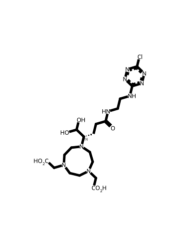 O=C(O)CN1CCN(CC(=O)O)CCN([C@@H](CCC(=O)NCCNc2nnc(Cl)nn2)C(O)O)CC1